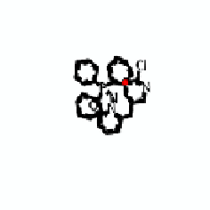 O=c1cccc(Cc2ccc(Cl)nc2)n1N=P(c1ccccc1)(c1ccccc1)c1ccccc1